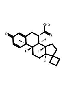 C[C@]12C=CC(=O)C=C1C[C@@H](C(=S)C=O)[C@@H]1[C@@H]2CC[C@@]2(C)[C@H]1CCC21CCC1